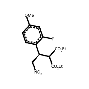 CCOC(=O)C(C(=O)OCC)[C@@H](C[N+](=O)[O-])c1ccc(OC)cc1F